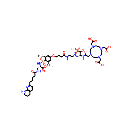 Cc1cc(OCCCC(=O)NCCNC[C@@H](NC(=O)CN2CCN(CC(=O)O)CCN(CC(=O)O)CCN(CC(=O)O)CC2)C(=O)S(=O)(=O)O)cc(C)c1S(=O)(=O)N[C@@H](CNC(=O)CCCCc1ccc2c(n1)NCCC2)C(=O)O